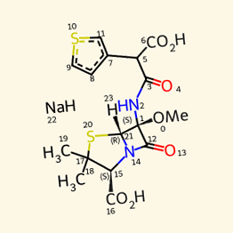 CO[C@@]1(NC(=O)C(C(=O)O)c2ccsc2)C(=O)N2[C@@H](C(=O)O)C(C)(C)S[C@@H]21.[NaH]